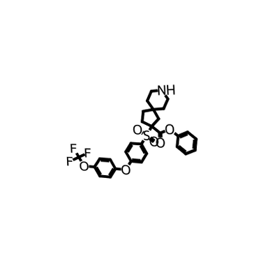 O=C(Oc1ccccc1)C1(S(=O)(=O)c2ccc(Oc3ccc(OC(F)(F)F)cc3)cc2)CCC2(CCNCC2)C1